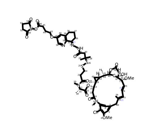 COc1cc2cc(c1Cl)N(C)C(=O)C[C@H](OC(=O)[C@H](C)N(C)C(=O)CCSSC(C)(C)CC(=O)N/N=C1\CCCc3cc(OCCCC(=O)ON4C(=O)CCC4=O)cnc31)[C@@]1(C)C[C@H]1[C@H](C)[C@@H]1C[C@@](O)(NC(=O)O1)[C@H](OC)/C=C/C=C(\C)C2